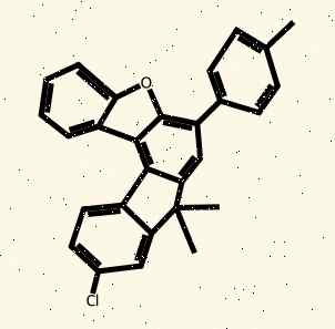 Cc1ccc(-c2cc3c(c4c2oc2ccccc24)-c2ccc(Cl)cc2C3(C)C)cc1